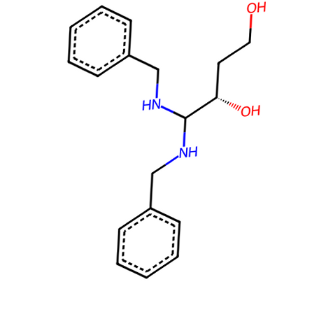 OCC[C@H](O)C(NCc1ccccc1)NCc1ccccc1